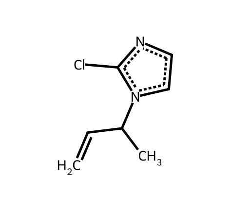 C=CC(C)n1ccnc1Cl